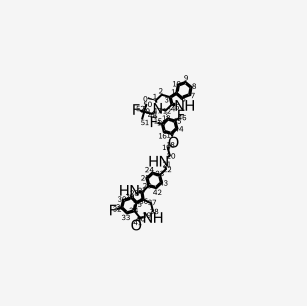 C[C@H]1Cc2c([nH]c3ccccc23)[C@H](c2c(F)cc(OCCNCc3ccc(-c4[nH]c5cc(F)cc6c5c4CCNC6=O)cc3)cc2F)N1CC(C)(C)F